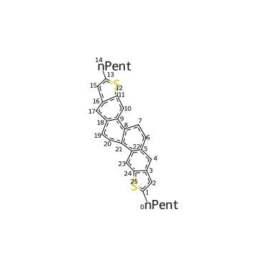 CCCCCc1cc2cc3ccc4c5cc6sc(CCCCC)cc6cc5ccc4c3cc2s1